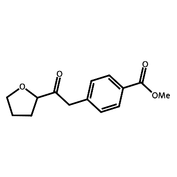 COC(=O)c1ccc(CC(=O)C2CCCO2)cc1